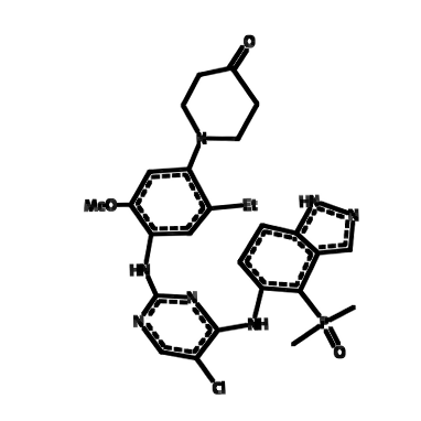 CCc1cc(Nc2ncc(Cl)c(Nc3ccc4[nH]ncc4c3P(C)(C)=O)n2)c(OC)cc1N1CCC(=O)CC1